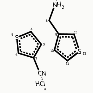 Cl.N#Cc1ccsc1.NCc1ccsc1